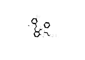 COc1ccc(Br)cc1CCc1cccc(OC)c1C(=O)N(CCCN)c1ccccc1